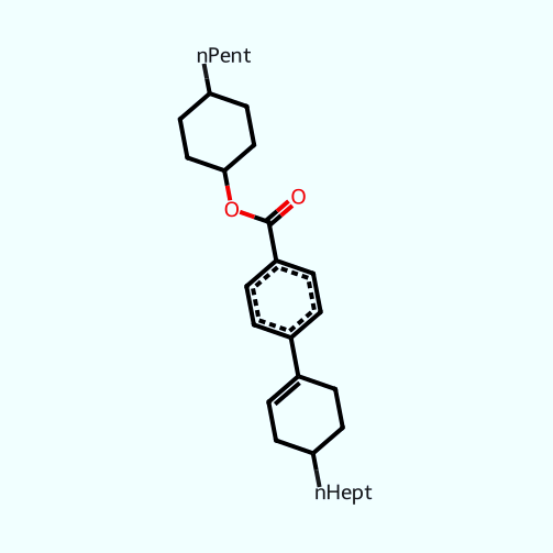 CCCCCCCC1CC=C(c2ccc(C(=O)OC3CCC(CCCCC)CC3)cc2)CC1